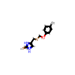 CCc1ccc(OCSCc2c[nH]c(=S)[nH]2)cc1